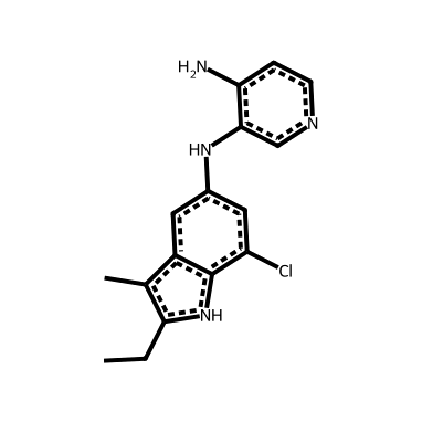 CCc1[nH]c2c(Cl)cc(Nc3cnccc3N)cc2c1C